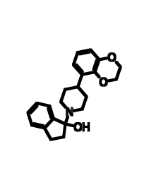 OC1(N2CCC(c3cccc4c3OCCO4)CC2)CCc2ccccc21